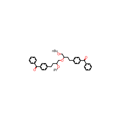 CCCCOCC(CCc1ccc(C(=O)c2ccccc2)cc1)OCC(CCc1ccc(C(=O)c2ccccc2)cc1)OC(C)C